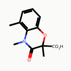 Cc1cccc2c1N(C)C(=O)C(C)(C(=O)O)O2